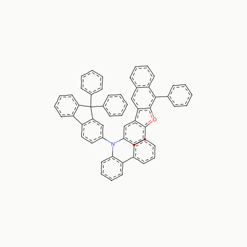 c1ccc(-c2ccccc2N(c2ccc3c(c2)C(c2ccccc2)(c2ccccc2)c2ccccc2-3)c2ccc3oc4c(-c5ccccc5)c5ccccc5cc4c3c2)cc1